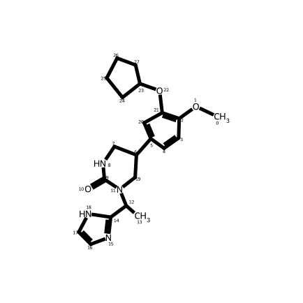 COc1ccc(C2CNC(=O)N(C(C)c3ncc[nH]3)C2)cc1OC1CCCC1